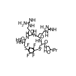 CC(C)C(=O)CNC(=O)C1CSc2c(F)c(F)c(c(F)c2F)SCC(NS)C(=O)NC(CCCNC(=N)N)C(=O)NC(CCCNC(=N)N)C(=O)N1